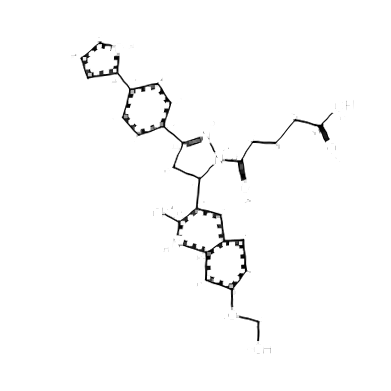 CCOc1ccc2cc(C3CC(c4ccc(-c5ccco5)cc4)=NN3C(=O)CCCC(=O)O)c(Cl)nc2c1